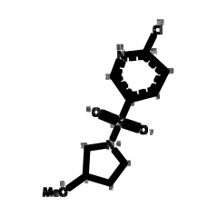 COC1CCN(S(=O)(=O)c2ccc(Cl)nc2)C1